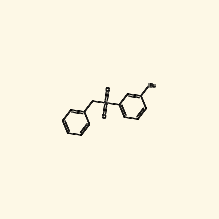 CCC(C)c1cccc(S(=O)(=O)Cc2ccccc2)c1